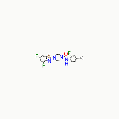 O=C(Nc1ccc(C2CC2)cc1F)N1CCN(c2nc3c(F)cc(F)cc3s2)CC1